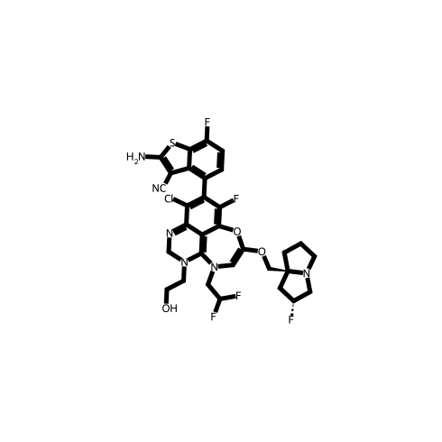 N#Cc1c(N)sc2c(F)ccc(-c3c(F)c4c5c(c3Cl)=NCN(CCO)C=5N(CC(F)F)C=C(OC[C@@]35CCCN3C[C@H](F)C5)O4)c12